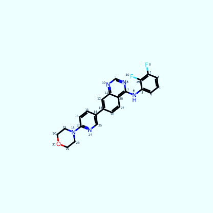 Fc1cccc(Nc2ncnc3cc(-c4ccc(N5CCOCC5)nc4)ccc23)c1F